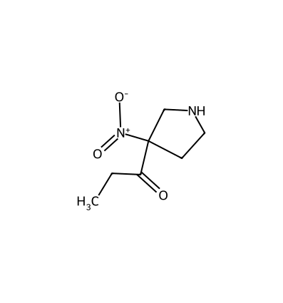 CCC(=O)C1([N+](=O)[O-])CCNC1